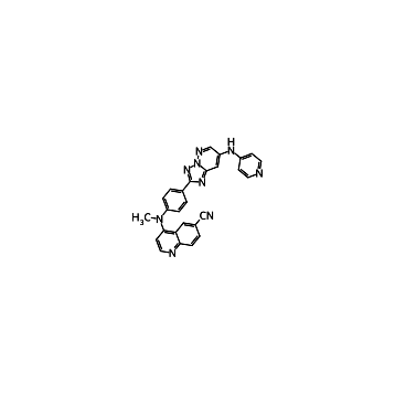 CN(c1ccc(-c2nc3cc(Nc4ccncc4)cnn3n2)cc1)c1ccnc2ccc(C#N)cc12